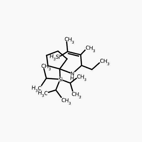 CCC(NC1([Si](C(C)C)(C(C)C)C(C)C)CCCC1)C(C)=C(C)[SiH3]